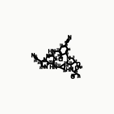 CO[C@@H]1CN(c2cc(C#N)cc(Nc3nc(NC4CC4)c4ncc(C#N)n4n3)c2Cl)C[C@@H]1NS(C)(=O)=O